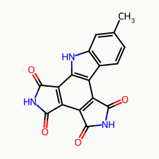 Cc1ccc2c(c1)[nH]c1c3c(=O)[nH]c(=O)c3c3c(=O)[nH]c(=O)c3c21